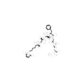 NC(=O)COCNC(=O)CNC(=O)C(Cc1ccccc1)NC(=O)CNC(=O)CNC(=O)CCCCCN1C(=O)C=CC1=O